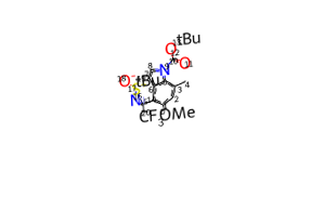 COc1cc(C)c2c(ccn2C(=O)OC(C)(C)C)c1/C(=N\[S+]([O-])C(C)(C)C)C(F)(F)F